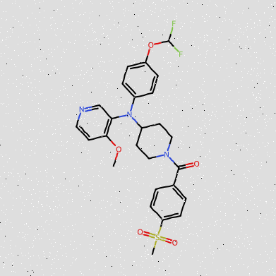 COc1ccncc1N(c1ccc(OC(F)F)cc1)C1CCN(C(=O)c2ccc(S(C)(=O)=O)cc2)CC1